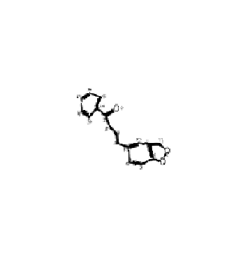 O=C(CCCc1ccc2c(c1)COO2)c1ccccc1